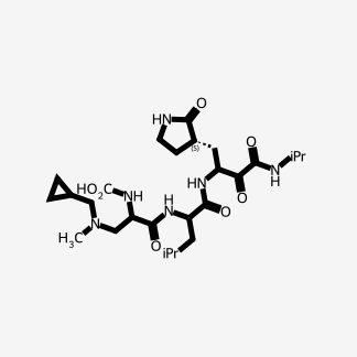 CC(C)CC(NC(=O)C(CN(C)CC1CC1)NC(=O)O)C(=O)NC(C[C@@H]1CCNC1=O)C(=O)C(=O)NC(C)C